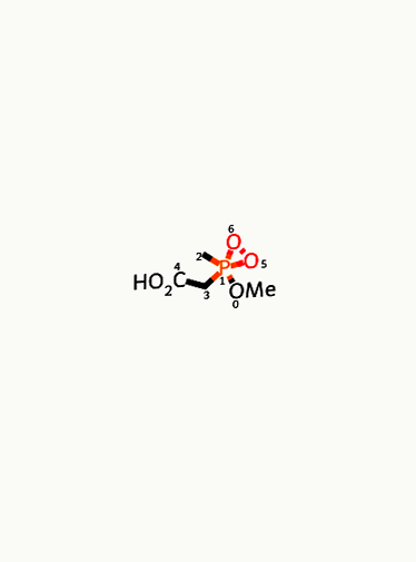 COP1(C)(CC(=O)O)OO1